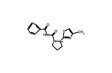 Cc1csc([C@H]2CCCN2C(=O)NC(=O)c2ccccc2)n1